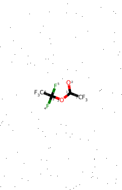 [O]C(OC(F)(F)C(F)(F)F)C(F)(F)F